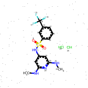 CNc1cc(NS(=O)(=O)c2cccc(C(F)(F)F)c2)cc(NC)n1.Cl.Cl